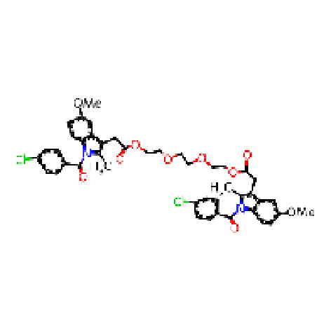 COc1ccc2c(c1)c(CC(=O)OCCOCCOCCOC(=O)Cc1c(C)n(C(=O)c3ccc(Cl)cc3)c3ccc(OC)cc13)c(C)n2C(=O)c1ccc(Cl)cc1